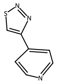 c1cc(-c2csnn2)ccn1